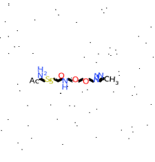 CC(=O)[C@@H](N)CSSCCC(=O)NCCOCCOCCn1cc(C)nn1